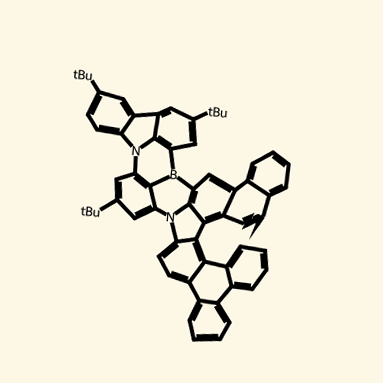 CC(C)(C)c1cc2c3c(c1)-n1c4ccc5c6ccccc6c6ccccc6c5c4c4c5c6ccccc6c6ccccc6c5cc(c41)B3c1cc(C(C)(C)C)cc3c4cc(C(C)(C)C)ccc4n-2c13